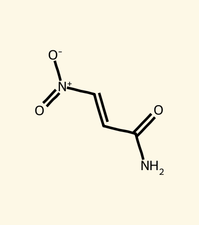 NC(=O)/C=C/[N+](=O)[O-]